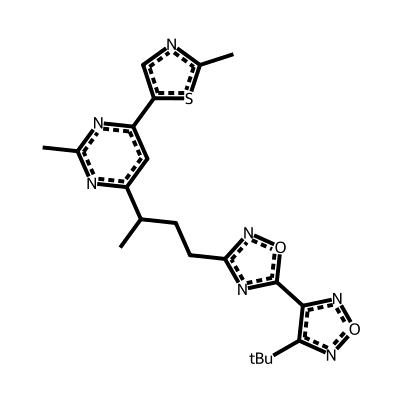 Cc1nc(-c2cnc(C)s2)cc(C(C)CCc2noc(-c3nonc3C(C)(C)C)n2)n1